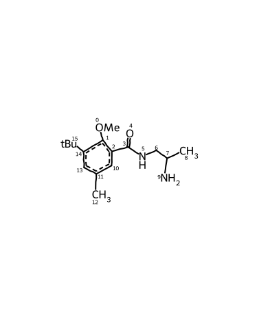 COc1c(C(=O)NCC(C)N)cc(C)cc1C(C)(C)C